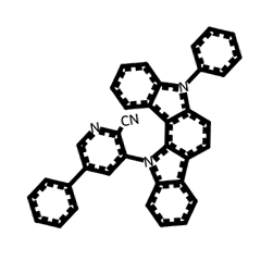 N#Cc1ncc(-c2ccccc2)cc1-n1c2ccccc2c2ccc3c(c4ccccc4n3-c3ccccc3)c21